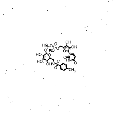 Cc1ccc(S(=O)(=O)OCC2OC(OP(=O)(O)OP(=O)(O)OCC3OC(n4ccc(=O)[nH]c4=O)[C@H](O)[C@@H]3O)[C@@H](O)[C@@H](O)[C@H]2O)cc1